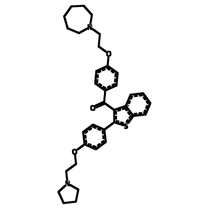 O=C(c1ccc(OCCN2CCCCCC2)cc1)c1c(-c2ccc(OCCN3CCCC3)cc2)sc2ccccc12